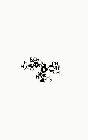 C=CC(=O)N1C[C@H](n2ncc3c(N4C[C@H](C)N[C@@H](C)C4)cc(S(=O)(=O)NC4(C)CC4)cc32)C[C@H]1C(C)(C)F